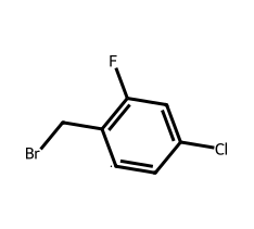 Fc1cc(Cl)c[c]c1CBr